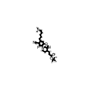 CN(C)/C=C\CCCc1cc2c(c(F)c1C#N)N1CCC(CCC(=O)OC(C)(C)C)[C@H](CO2)C1